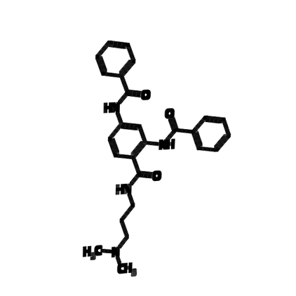 CN(C)CCCNC(=O)c1ccc(NC(=O)c2ccccc2)cc1NC(=O)c1ccccc1